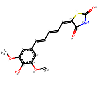 COc1cc(C=CC=CC=C2SC(=O)NC2=O)cc(OC)c1O